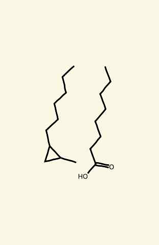 CCCCCCC1CC1C.CCCCCCCC(=O)O